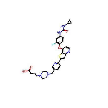 O=C(O)CCCN1CCN(Cc2ccc(-c3cc4nccc(Oc5ccc(NC(=O)NC6CC6)cc5F)c4s3)nc2)CC1